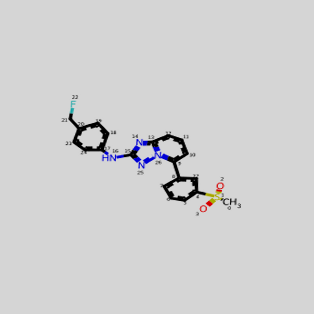 CS(=O)(=O)c1cccc(-c2cccc3nc(Nc4ccc(CF)cc4)nn23)c1